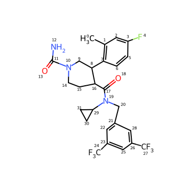 Cc1cc(F)ccc1C1CN(C(N)=O)CCC1C(=O)N(Cc1cc(C(F)(F)F)cc(C(F)(F)F)c1)C1CC1